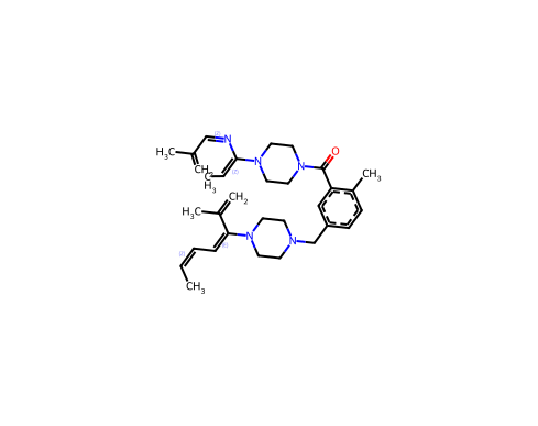 C=C(C)/C=N\C(=C/C)N1CCN(C(=O)c2cc(CN3CCN(/C(=C/C=C\C)C(=C)C)CC3)ccc2C)CC1